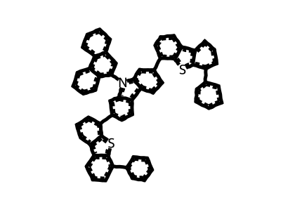 c1ccc(-c2cccc3c2sc2c(-c4ccc5c6ccc(-c7cccc8c7sc7c(-c9ccccc9)cccc78)cc6n(-c6cc7ccccc7c7ccccc67)c5c4)cccc23)cc1